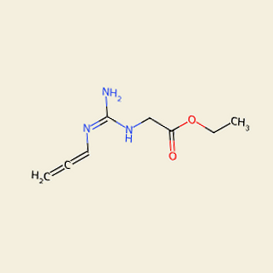 C=C=CN=C(N)NCC(=O)OCC